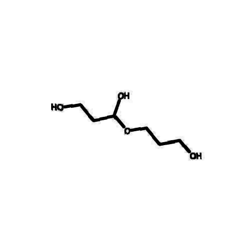 OCCCOC(O)CCO